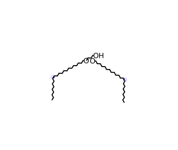 CCCCCCCC/C=C\CCCCCCCCCCCCOCC(CO)OCCCCCCCCCCCC/C=C\CCCCCCCC